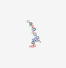 Cn1c(CN2C=CC=CC2N2CCC(Oc3cccc(COc4ccc(Cl)cc4F)n3)CC2)nc2ccc(C(=O)O)cc21